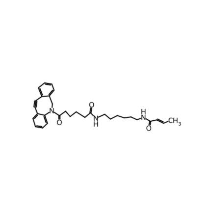 C/C=C/C(=O)NCCCCCCNC(=O)CCCCC(=O)N1Cc2ccccc2C#Cc2ccccc21